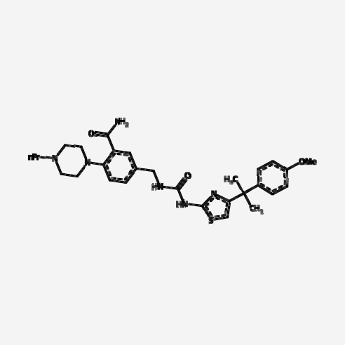 CCCN1CCN(c2ccc(CNC(=O)Nc3nc(C(C)(C)c4ccc(OC)cc4)cs3)cc2C(N)=O)CC1